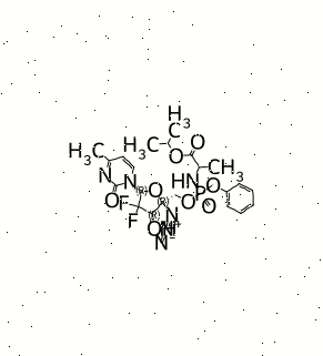 Cc1ccn([C@@H]2O[C@@](COP(=O)(NC(C)C(=O)OC(C)C)Oc3ccccc3)(N=[N+]=[N-])[C@@H](O)C2(F)F)c(=O)n1